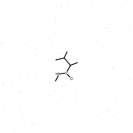 CN[S+]([O-])C(C)C(C)C